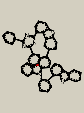 c1ccc(-c2nc(-c3ccccc3)nc(-c3cccc4sc5ccc(-c6ccc7c(c6)c6ccccc6n7-c6ccccc6-c6cccc7c6sc6ccccc67)cc5c34)n2)cc1